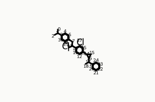 CC(C)c1ccc(CC(I)c2ccc(C3CC3C(C)c3ccccc3)cc2Cl)c(Cl)c1